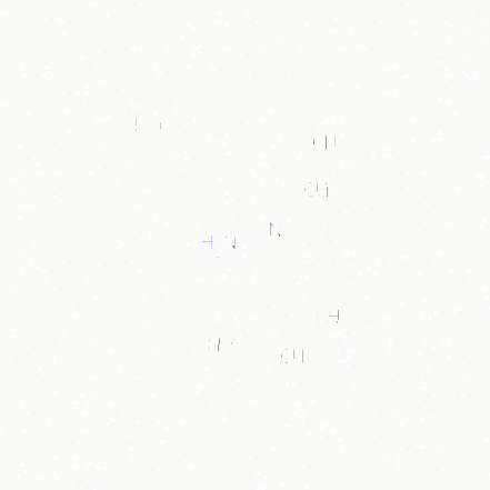 CCCc1cc(CC)c(C)c(/N=C(\N)c2cc(C)c(C)c(C)c2)c1